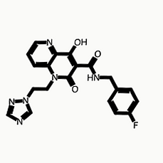 O=C(NCc1ccc(F)cc1)c1c(O)c2ncccc2n(CCn2cncn2)c1=O